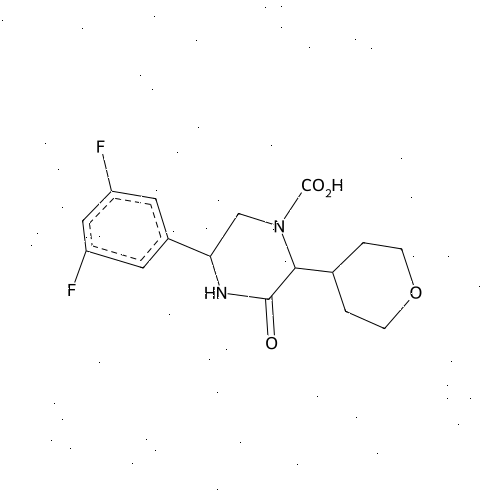 O=C1NC(c2cc(F)cc(F)c2)CN(C(=O)O)C1C1CCOCC1